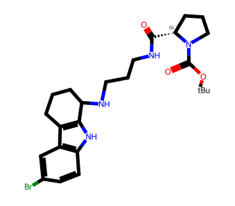 CC(C)(C)OC(=O)N1CCC[C@H]1C(=O)NCCCNC1CCCc2c1[nH]c1ccc(Br)cc21